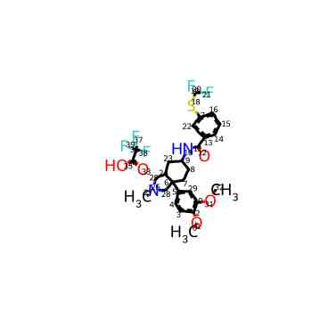 COc1ccc(C23CCC(NC(=O)c4cccc(SC(F)F)c4)CC2CN(C)C3)cc1OC.O=C(O)C(F)(F)F